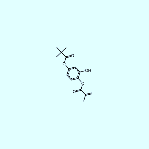 C=C(C)C(=O)Oc1ccc(OC(=O)C(C)(C)C)cc1O